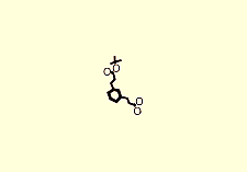 COC(=O)CCc1cccc(CCC(=O)OC(C)(C)C)c1